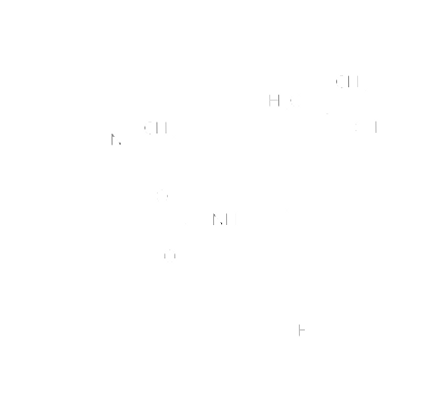 CN1CCC[C@H]1COC(=O)Nc1ccc(F)cc1-c1ccc(C(C)(C)C)cc1